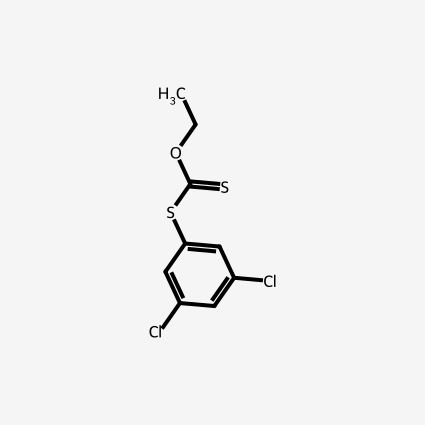 CCOC(=S)Sc1cc(Cl)cc(Cl)c1